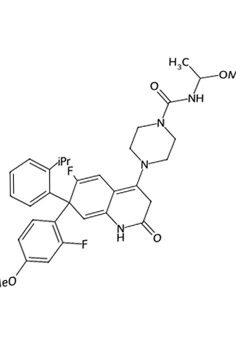 COc1ccc(C2(c3ccccc3C(C)C)C=C3NC(=O)CC(N4CCN(C(=O)NC(C)OC)CC4)=C3C=C2F)c(F)c1